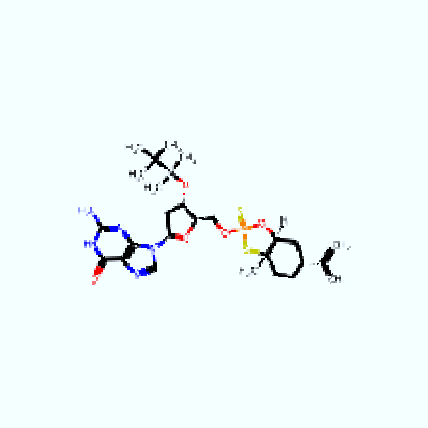 C=C(C)[C@@H]1CC[C@]2(C)S[P@@](=S)(OC[C@H]3O[C@@H](n4cnc5c(=O)[nH]c(N)nc54)C[C@@H]3O[Si](C)(C)C(C)(C)C)O[C@H]2C1